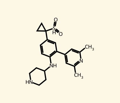 Cc1cc(-c2cc(C3([SH](=O)=O)CC3)ccc2NC2CCNCC2)cc(C)n1